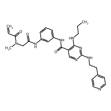 C=CC(=O)N(C)CC(=O)Nc1cccc(NC(=O)c2cnc(NCCc3ccncc3)nc2NCCC)c1